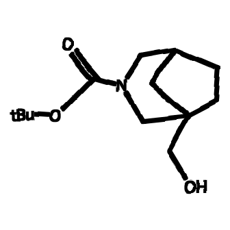 CC(C)(C)OC(=O)N1CC2CCC(CO)(C2)C1